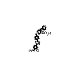 CC(C)Cc1ccc(-c2nc(-c3ccc(CN4CCC(Cc5cccnc5)(OC(=O)O)CC4)cc3)no2)cc1Cl